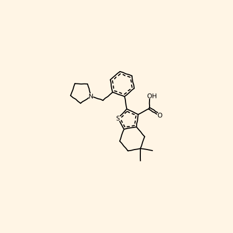 CC1(C)CCc2sc(-c3ccccc3CN3CCCC3)c(C(=O)O)c2C1